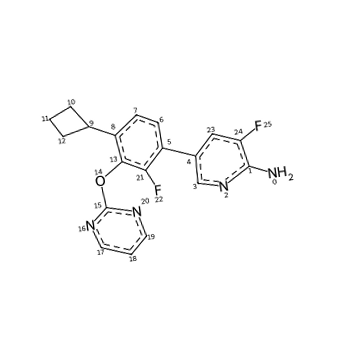 Nc1ncc(-c2ccc(C3CCC3)c(Oc3ncccn3)c2F)cc1F